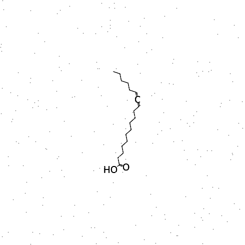 CCCCCC=C=CCCCCCCCCCC(=O)O